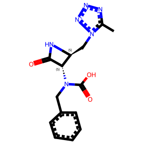 Cc1nnnn1C[C@@H]1NC(=O)[C@H]1N(Cc1ccccc1)C(=O)O